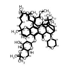 COC(=O)/C(C)=C\CC12OC(C)(C)C3CC(C1=O)C(N1CCOCC1)C1C(=O)c4c(O[C@H]5O[C@H]6COC(C)(C)O[C@@H]6[C@@H](O)[C@@H]5O)c5c(c(CC=C(C)C)c4OC132)OC(C)(CCC=C(C)C)C=C5